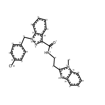 Cn1c(CCNC(=O)c2nn(Cc3ccc(Cl)cc3)c3ccccc23)nc2ccccc21